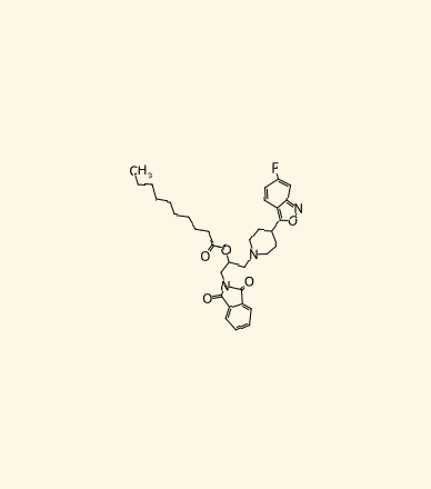 CCCCCCCCCC(=O)OC(CN1CCC(c2onc3cc(F)ccc23)CC1)CN1C(=O)c2ccccc2C1=O